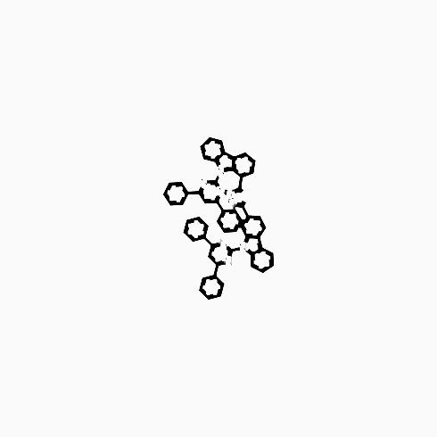 c1ccc(-c2cc(-c3ccccc3)nc(-n3c4ccccc4c4ccc(-c5nnc(-c6cccc7c8ccccc8n(-c8nc(-c9ccccc9)cc(-c9ccccc9)n8)c67)o5)cc43)n2)cc1